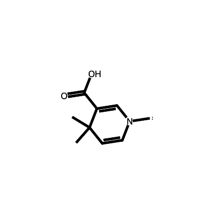 [CH]N1C=CC(C)(C)C(C(=O)O)=C1